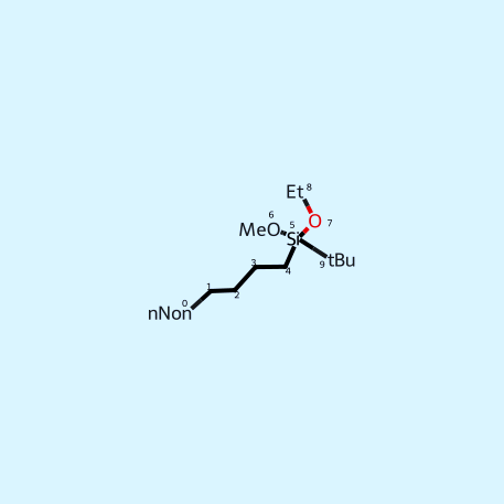 CCCCCCCCCCCCC[Si](OC)(OCC)C(C)(C)C